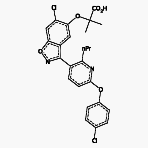 CCCc1nc(Oc2ccc(Cl)cc2)ccc1-c1noc2cc(Cl)c(OC(C)(C)C(=O)O)cc12